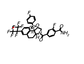 NC(=O)c1ccc(C(=O)N2CC[C@@]3(S(=O)(=O)c4ccc(F)cc4)c4ccc(C(F)(C(F)(F)F)C(F)(F)F)cc4CC[C@@H]23)cc1F